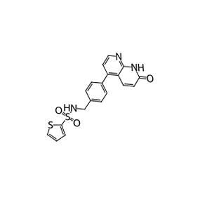 O=c1ccc2c(-c3ccc(CNS(=O)(=O)c4cccs4)cc3)ccnc2[nH]1